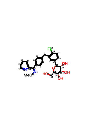 CON=C(c1ccc(Cc2cc([C@@H]3O[C@H](CO)[C@@H](O)[C@H](O)[C@H]3O)ccc2Cl)cc1)c1ccccn1